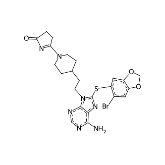 Nc1ncnc2c1nc(Sc1cc3c(cc1Br)OCO3)n2CCC1CCN(C2=NC(=O)CC2)CC1